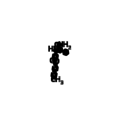 CN1CCN(C2CCN(CCS(=O)(=O)N3CCC(c4c[nH]c5c(C(N)=O)cc(-c6ccccc6)cc45)CC3)CC2)CC1